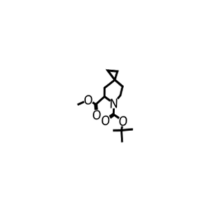 COC(=O)C1CC2(CCN1C(=O)OC(C)(C)C)CC2